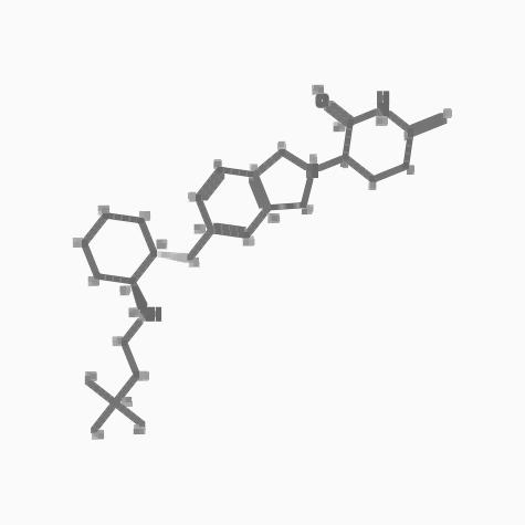 C=C1CCC(N2Cc3ccc(C[C@H]4CCCC[C@@H]4NCCC(C)(C)C)cc3C2)C(=O)N1